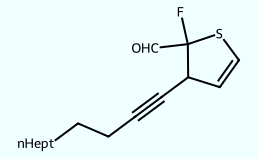 CCCCCCCCCC#CC1C=CSC1(F)C=O